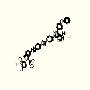 Nc1ncnc2c1c(-c1ccc(Oc3ccccc3)cc1)nn2C1CCN(C2CN(C3CCC4(CC3)CN(c3ccc5c(c3)C(C(=O)C=O)N(C3CCC(=O)NC3=O)C5)C4)C2)CC1